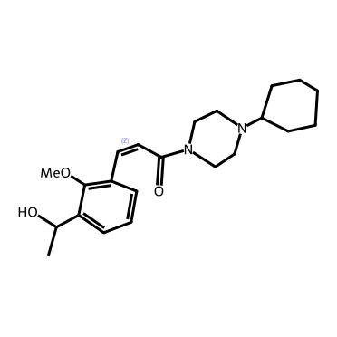 COc1c(/C=C\C(=O)N2CCN(C3CCCCC3)CC2)cccc1C(C)O